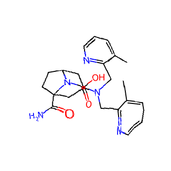 Cc1cccnc1CN(Cc1ncccc1C)C1CC2CCC(C(N)=O)(C1)N2C(=O)O